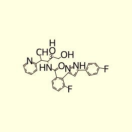 CC(c1ccccn1)[C@@H](NC(=O)c1cccc(F)c1-c1cc(-c2ccc(F)cc2)[nH]n1)[C@H](O)CO